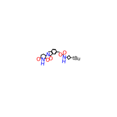 CC(C)(C)[C@H]1C[C@@H](NC(=O)OCc2ccc3c(c2)C(=O)N(C2CCC(=O)NC2=O)C3)C1